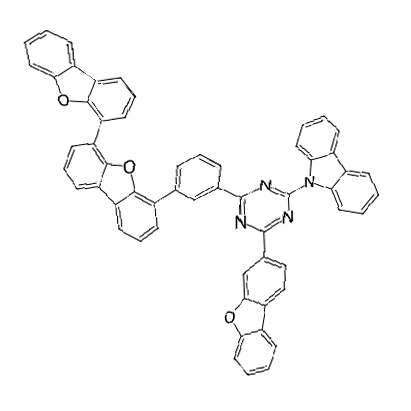 c1cc(-c2nc(-c3ccc4c(c3)oc3ccccc34)nc(-n3c4ccccc4c4ccccc43)n2)cc(-c2cccc3c2oc2c(-c4cccc5c4oc4ccccc45)cccc23)c1